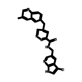 Cc1cnc2ccc(Cc3cnnc(C(=O)NCc4cnc5[nH]cc(Cl)c5c4)c3)cc2c1